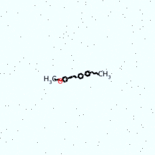 CCCCCc1ccc([C@H]2CC[C@H](/C=C/C#Cc3ccc(OCCC)cc3)CC2)cc1